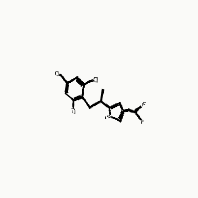 CC(Cc1c(Cl)cc(Cl)cc1Cl)c1cc(C(F)F)c[nH]1